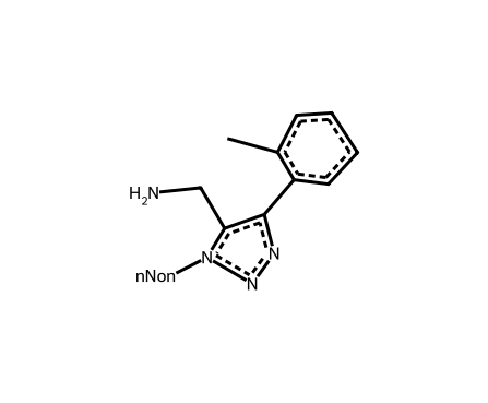 CCCCCCCCCn1nnc(-c2ccccc2C)c1CN